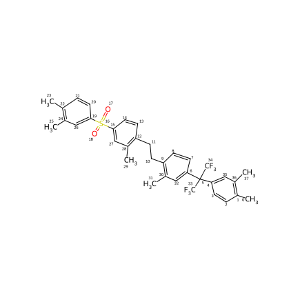 Cc1ccc(C(c2ccc(CCc3ccc(S(=O)(=O)c4ccc(C)c(C)c4)cc3C)c(C)c2)(C(F)(F)F)C(F)(F)F)cc1C